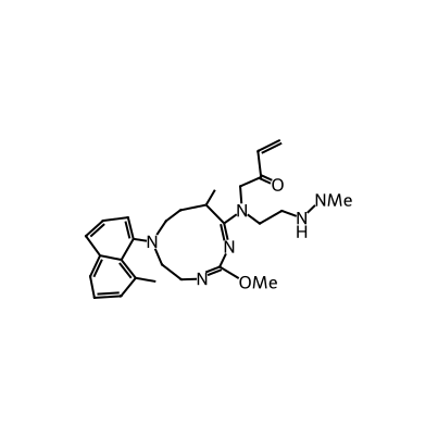 C=CC(=O)CN(CCNNC)/C1=N/C(OC)=N\CCN(c2cccc3cccc(C)c23)CCC1C